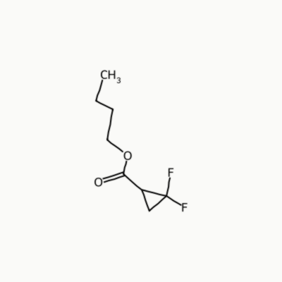 CCCCOC(=O)C1CC1(F)F